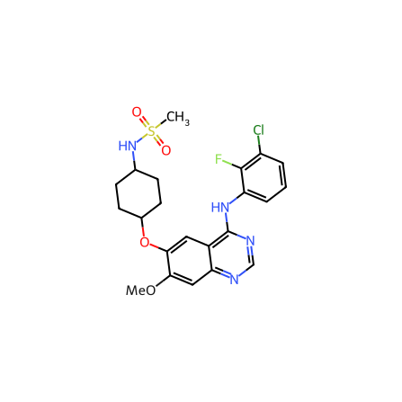 COc1cc2ncnc(Nc3cccc(Cl)c3F)c2cc1OC1CCC(NS(C)(=O)=O)CC1